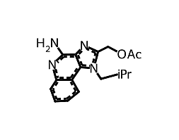 CC(=O)OCc1nc2c(N)nc3ccccc3c2n1CC(C)C